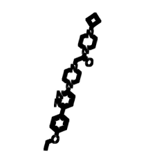 CCOc1ccc(-c2ccc(N3CCN(CC(=O)N4CCN(C5CCC5)CC4)CC3)nn2)cc1